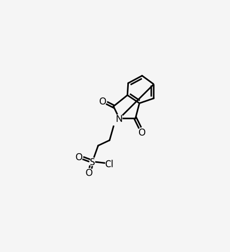 CCCS(=O)(=O)Cl.O=C1c2cc3ccc2c(=O)n31